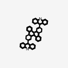 C1=C(c2c3ccccc3nc3ccccc23)CCc2c1c1c3ccccc3c3c(c1c1ccccc21)C=C(c1c2ccccc2nc2ccccc12)CC3